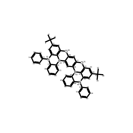 CC(C)(C)c1cc2c3c(c1)N(c1ccccc1)c1ccccc1B3c1cc3c(cc1O2)Oc1cc(C(C)(C)C)cc2c1B3c1ccccc1N2c1ccccc1